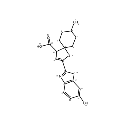 CC1CCC2(CC1)SC(c1nc3ccc(O)cc3s1)=NC2C(=O)O